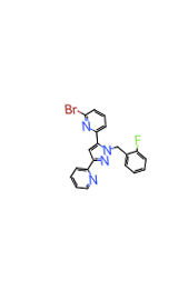 Fc1ccccc1Cn1nc(-c2ccccn2)cc1-c1cccc(Br)n1